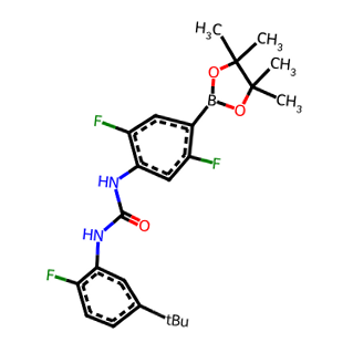 CC(C)(C)c1ccc(F)c(NC(=O)Nc2cc(F)c(B3OC(C)(C)C(C)(C)O3)cc2F)c1